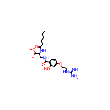 CCCCCC(=O)N[C@@H](CNC(=O)c1ccc(OCCNC(=N)N)cc1O)C(=O)O